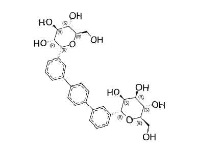 OC[C@H]1O[C@H](c2cccc(-c3ccc(-c4cccc([C@H]5O[C@H](CO)[C@@H](O)[C@H](O)[C@@H]5O)c4)cc3)c2)[C@H](O)[C@@H](O)[C@@H]1O